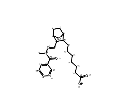 CN(/N=C/C1C2CCC(O2)C1CCCCCCC(=O)O)C(=O)c1cccnc1